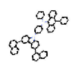 c1ccc(-c2c3ccccc3c(N(c3ccccc3)c3ccc(-n4c5ccc(-c6cccc7ccccc67)cc5c5cc(-c6cccc7ccccc67)ccc54)cc3)c3ccccc23)cc1